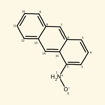 [O-][NH2+]c1cccc2cc3ccccc3cc12